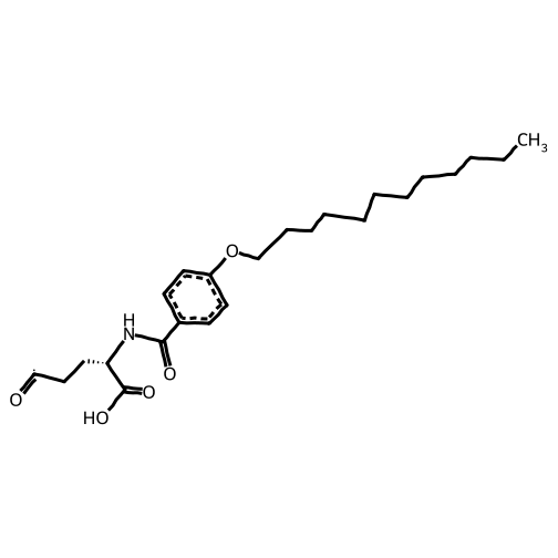 CCCCCCCCCCCCOc1ccc(C(=O)N[C@@H](CC[C]=O)C(=O)O)cc1